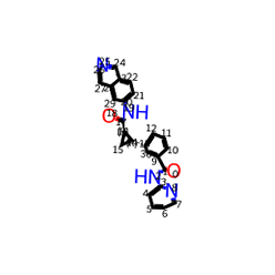 O=C(Nc1ccccn1)c1cccc([C@@H]2C[C@H]2C(=O)Nc2ccc3cnccc3c2)c1